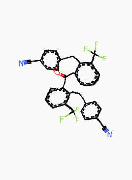 N#Cc1ccc(Cc2c(C(=O)c3cccc(C(F)(F)F)c3Cc3ccc(C#N)cc3)cccc2C(F)(F)F)cc1